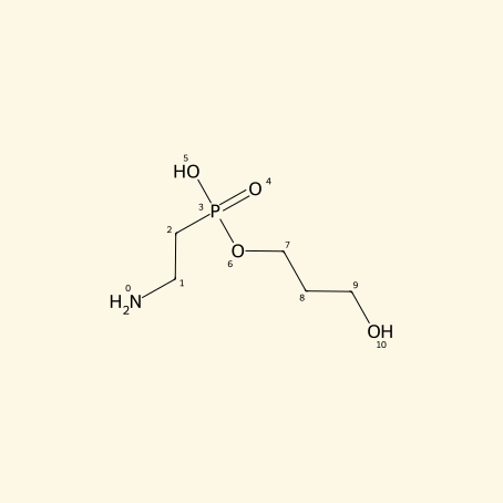 NCCP(=O)(O)OCCCO